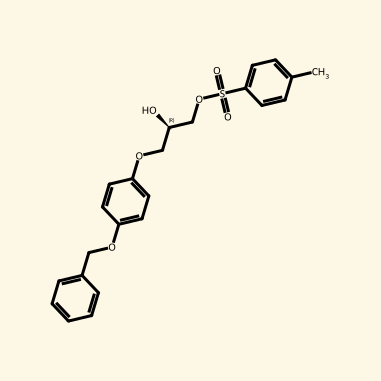 Cc1ccc(S(=O)(=O)OC[C@H](O)COc2ccc(OCc3ccccc3)cc2)cc1